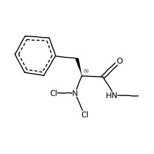 CNC(=O)[C@H](Cc1ccccc1)N(Cl)Cl